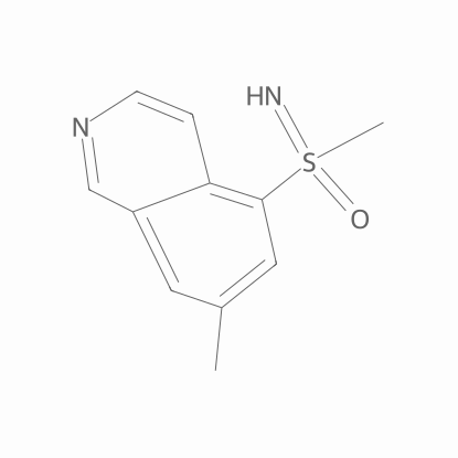 Cc1cc(S(C)(=N)=O)c2ccncc2c1